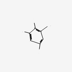 CC(C)(C)c1cc(C=O)cc(C(C)(C)C)c1F